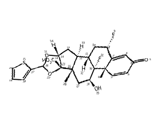 C[C@]12C=CC(=O)C=C1[C@@H](F)C[C@H]1[C@@H]3C[C@H]4OC(c5cccs5)O[C@@]4(C(=O)O)[C@@]3(C)C[C@H](O)[C@@]12F